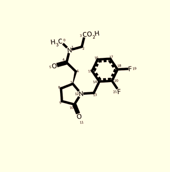 CN(CC(=O)O)C(=O)C[C@@H]1CCC(=O)N1Cc1cccc(F)c1F